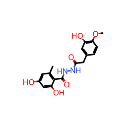 COc1ccc(CC(=O)NNC(=O)c2c(C)cc(O)cc2O)cc1O